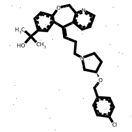 CC(C)(O)c1ccc2c(c1)/C(=C/CCN1CC[C@H](OCc3ccc(Cl)cc3)C1)c1cccnc1CO2